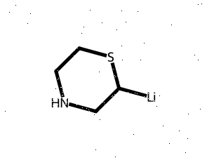 [Li][CH]1CNCCS1